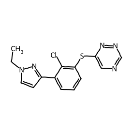 CCn1ccc(-c2cccc(Sc3cncnn3)c2Cl)n1